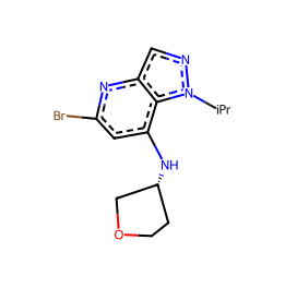 CC(C)n1ncc2nc(Br)cc(N[C@@H]3CCOC3)c21